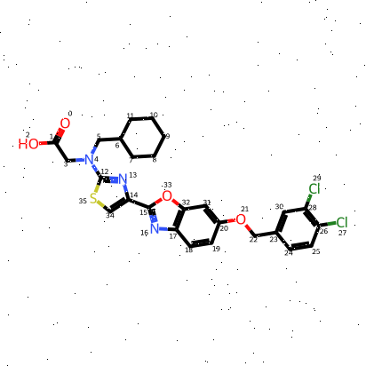 O=C(O)CN(CC1CCCCC1)c1nc(-c2nc3ccc(OCc4ccc(Cl)c(Cl)c4)cc3o2)cs1